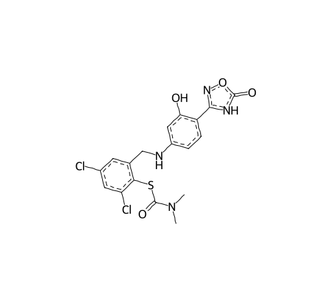 CN(C)C(=O)Sc1c(Cl)cc(Cl)cc1CNc1ccc(-c2noc(=O)[nH]2)c(O)c1